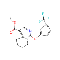 CCOC(=O)c1cnc(Oc2cccc(C(F)(F)F)c2)c2c1CCCC2